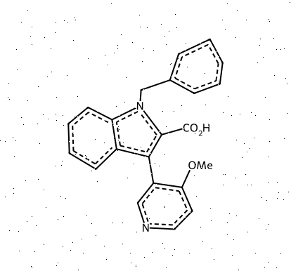 COc1ccncc1-c1c(C(=O)O)n(Cc2ccccc2)c2ccccc12